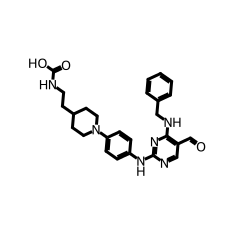 O=Cc1cnc(Nc2ccc(N3CCC(CCNC(=O)O)CC3)cc2)nc1NCc1ccccc1